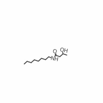 CCCCCCCCNC(=O)CC(C)O